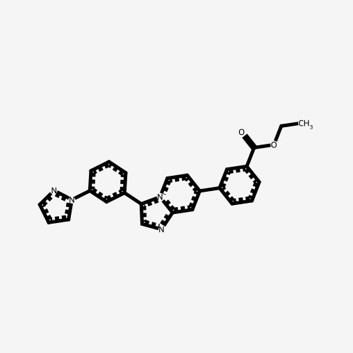 CCOC(=O)c1cccc(-c2ccn3c(-c4cccc(-n5cccn5)c4)cnc3c2)c1